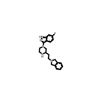 Fc1ccc2c(N3CCNC(CCN4Cc5ccccc5C4)C3)n[nH]c2c1